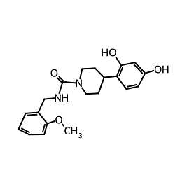 COc1ccccc1CNC(=O)N1CCC(c2ccc(O)cc2O)CC1